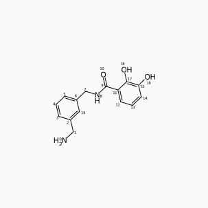 NCc1cccc(CNC(=O)c2cccc(O)c2O)c1